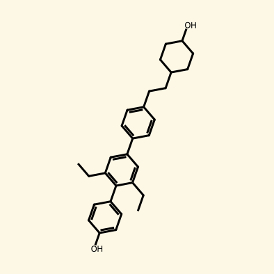 CCc1cc(-c2ccc(CCC3CCC(O)CC3)cc2)cc(CC)c1-c1ccc(O)cc1